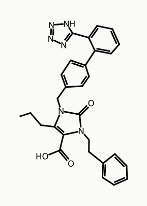 CCCc1c(C(=O)O)n(CCc2ccccc2)c(=O)n1Cc1ccc(-c2ccccc2-c2nnn[nH]2)cc1